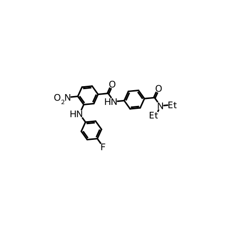 CCN(CC)C(=O)c1ccc(NC(=O)c2ccc([N+](=O)[O-])c(Nc3ccc(F)cc3)c2)cc1